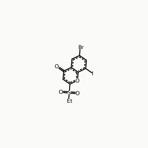 CCS(=O)(=O)c1cc(=O)c2cc(Br)cc(I)c2o1